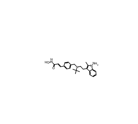 Cc1c(CCN(Cc2ccc(/C=C/C(=O)NO)cc2)C(C)(C)C)c2ccccc2n1N